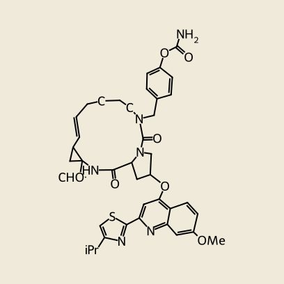 COc1ccc2c(OC3CC4C(=O)NC5([C]=O)CC5/C=C/CCCCN(Cc5ccc(OC(N)=O)cc5)C(=O)N4C3)cc(-c3nc(C(C)C)cs3)nc2c1